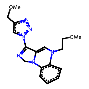 COCCN1C=C2C(n3cc(COC)nn3)=NCN2c2ccccc21